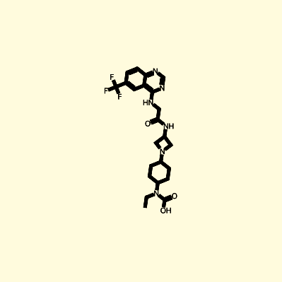 CCN(C(=O)O)C1CCC(N2CC(NC(=O)CNc3ncnc4ccc(C(F)(F)F)cc34)C2)CC1